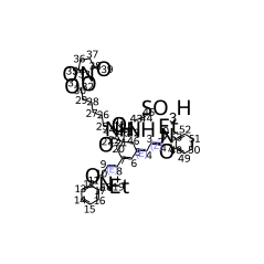 CCN1/C(=C/C=C2C=C(/C=C/c3oc4ccccc4[n+]3CC)CC(C(=O)NCCCCCC(=O)ON3C(=O)CCC3=O)(C(=O)NCCS(=O)(=O)O)C/2)Oc2ccccc21